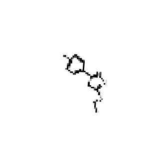 CCSC1=NN=C(c2ccc(C)cc2)C1